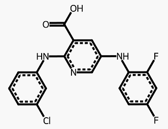 O=C(O)c1cc(Nc2ccc(F)cc2F)cnc1Nc1cccc(Cl)c1